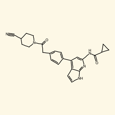 N#CC1CCN(C(=O)Cc2ccc(-c3cc(NC(=O)C4CC4)nc4[nH]ccc34)cc2)CC1